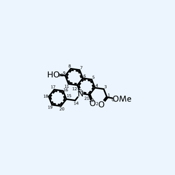 COC(=O)Cc1cc2ccc(O)cc2n(Cc2ccccc2)c1=O